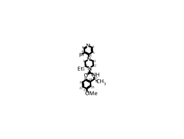 CC[C@@H]1CN(c2ccncc2F)CCN1C(=O)N[C@H](C)c1cccc(OC)c1